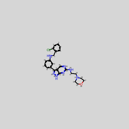 Clc1ccccc1CNc1cccc(-c2n[nH]c3nc(NCCN4CCOCC4)ncc23)c1